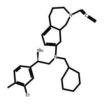 C=C=CN1CCCC2=CC=C(N(CC3CCCCC3)C[C@@H](c3ccc(C)c(CC)c3)C(C)(C)C)CC2C1